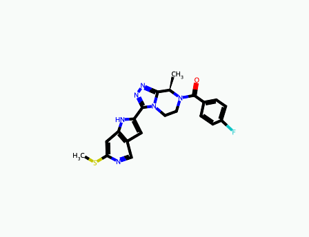 CSc1cc2[nH]c(-c3nnc4n3CCN(C(=O)c3ccc(F)cc3)[C@@H]4C)cc2cn1